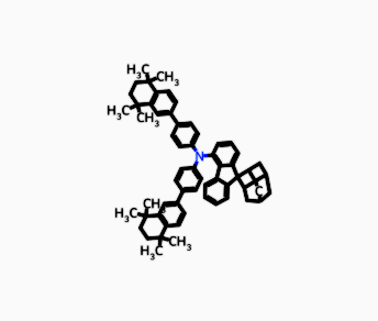 CC1(C)CCC(C)(C)c2cc(-c3ccc(N(c4ccc(-c5ccc6c(c5)C(C)(C)CCC6(C)C)cc4)c4cccc5c4-c4ccccc4C54C5CC6CC7CC4C75C6)cc3)ccc21